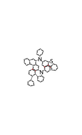 c1ccc(-c2ccccc2-c2ccccc2N(c2ccccc2)c2ccc3c(c2)c(N(c2ccccc2)c2ccc4c(c2)sc2ccccc24)cc2ccccc23)cc1